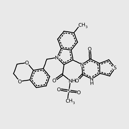 Cc1ccc2c(c1)c(-n1c(=O)[nH]c3cscc3c1=O)c(C(=O)NS(C)(=O)=O)n2Cc1cccc2c1OCCO2